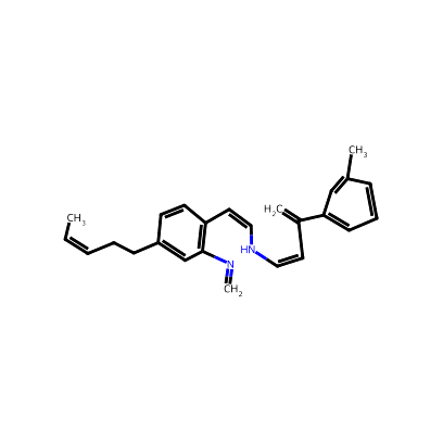 C=Nc1cc(CC/C=C\C)ccc1/C=C\N/C=C\C(=C)c1cccc(C)c1